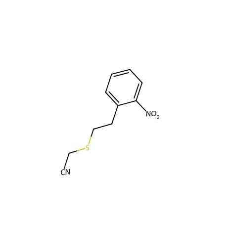 N#CCSCCc1ccccc1[N+](=O)[O-]